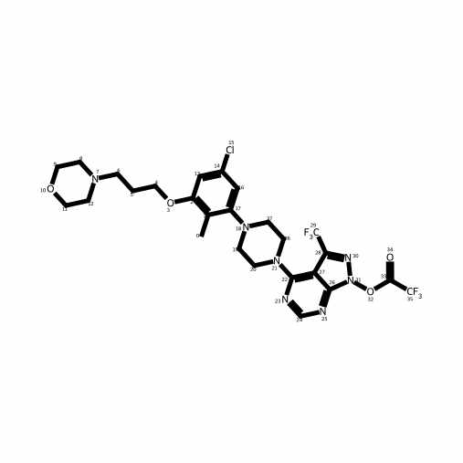 Cc1c(OCCCN2CCOCC2)cc(Cl)cc1N1CCN(c2ncnc3c2c(C(F)(F)F)nn3OC(=O)C(F)(F)F)CC1